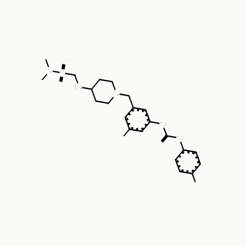 CN(C)S(=O)(=O)CNC1CCN(Cc2cc(F)cc(NC(=O)Nc3ccc(F)cc3)c2)CC1